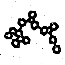 c1ccc(-c2ccc(-n3c4ccccc4c4cc(-c5ccc6c(c5)c5ccccc5n6-c5cccc(-c6cc7c8ccccc8c8ccccc8c7c7c6ccc6ccccc67)c5)ccc43)cc2)cc1